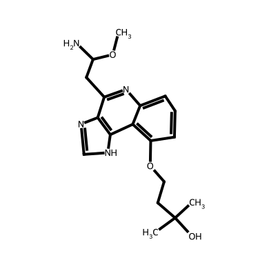 COC(N)Cc1nc2cccc(OCCC(C)(C)O)c2c2[nH]cnc12